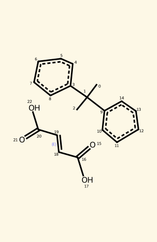 CC(C)(c1ccccc1)c1ccccc1.O=C(O)/C=C/C(=O)O